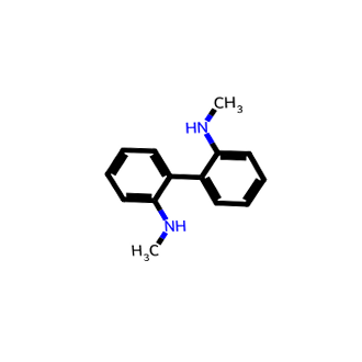 CNc1ccccc1-c1ccccc1NC